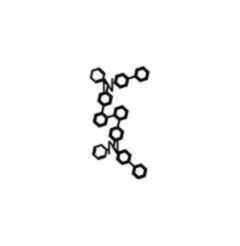 C1=CCC(N(c2ccc(-c3ccccc3)cc2)c2ccc(-c3ccccc3-c3ccccc3-c3ccc(N(C4=CCCC=C4)c4ccc(-c5ccccc5)cc4)cc3)cc2)C=C1